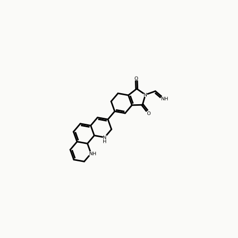 N=CN1C(=O)C2=C(CCC(C3=CC4=CC=C5C=CCNC5C4NC3)=C2)C1=O